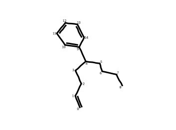 C=CC[CH]C(CCCC)c1ccccc1